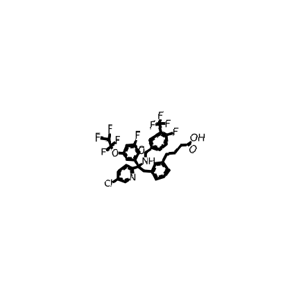 O=C(O)CCCc1cccc(CC(NC(=O)c2ccc(F)c(C(F)(F)F)c2)(c2cc(F)cc(OC(F)(F)C(F)F)c2)c2ccc(Cl)cn2)c1